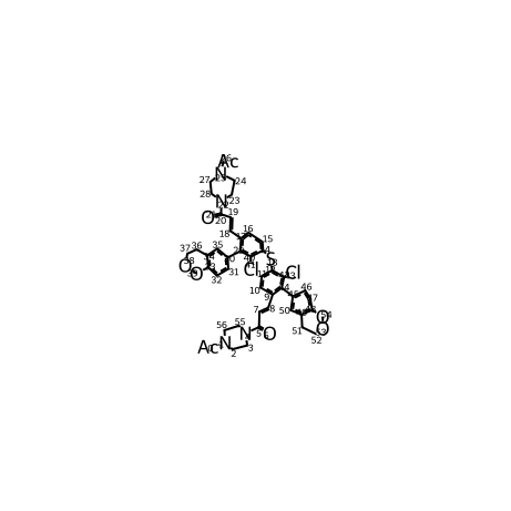 CC(=O)N1CCN(C(=O)/C=C/c2ccc(Sc3ccc(/C=C/C(=O)N4CCN(C(C)=O)CC4)c(-c4ccc5c(c4)CCOO5)c3Cl)c(Cl)c2-c2ccc3c(c2)CCOO3)CC1